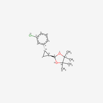 CC1(C)OB([C@H]2C[C@@H]2c2cccc(Cl)c2)OC1(C)C